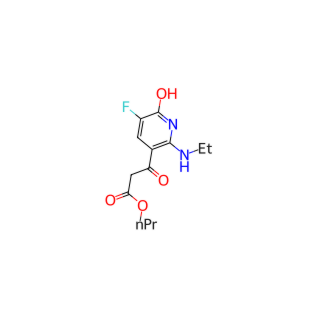 CCCOC(=O)CC(=O)c1cc(F)c(O)nc1NCC